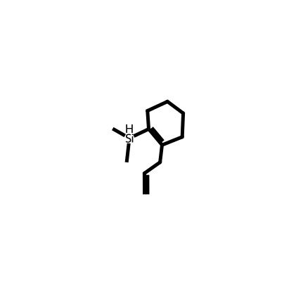 C=CCC1=C([SiH](C)C)CCCC1